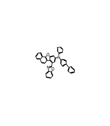 c1ccc(-c2ccc(N(c3ccccc3)c3cc(-c4nc5ccccc5o4)c4c(c3)oc3c5ccccc5ccc34)cc2)cc1